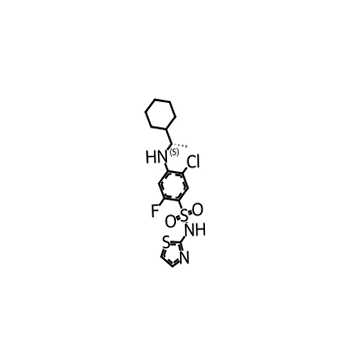 C[C@H](Nc1cc(F)c(S(=O)(=O)Nc2nccs2)cc1Cl)C1CCCCC1